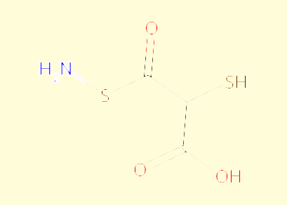 NSC(=O)C(S)C(=O)O